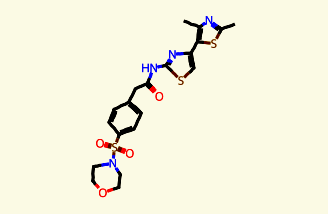 Cc1nc(C)c(-c2csc(NC(=O)Cc3ccc(S(=O)(=O)N4CCOCC4)cc3)n2)s1